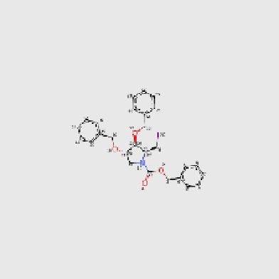 O=C(OCc1ccccc1)N1C[C@H](OCc2ccccc2)[C@@H](OCc2ccccc2)[C@H]1CI